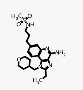 CCc1nc2c(N)nc3cc(CCCNS(C)(=O)=O)ccc3c2n1CC1CCOCC1